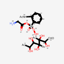 CC(=O)C(O)C(O)C(O)(C(C)=O)C(O)(C(C)=O)C(O)C=O.CC(=O)Nc1ccccc1[As](=O)(OO)OC(=O)CN